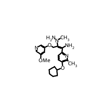 COc1cncc(OC/C(=C(/N)c2ccc(OC3CCCCC3)c(C)n2)N(C)N)c1